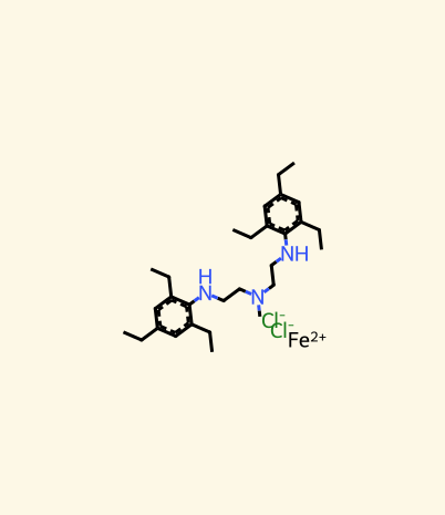 CCc1cc(CC)c(NCCN(C)CCNc2c(CC)cc(CC)cc2CC)c(CC)c1.[Cl-].[Cl-].[Fe+2]